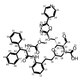 COC(=O)N[C@H](C(=O)Nc1ccccc1CC[C@@H]1CN(C(=O)O)[C@H](C=O)[C@@H](CSc2nnc(-c3ccncc3)o2)O1)C(c1ccccc1)c1ccccc1